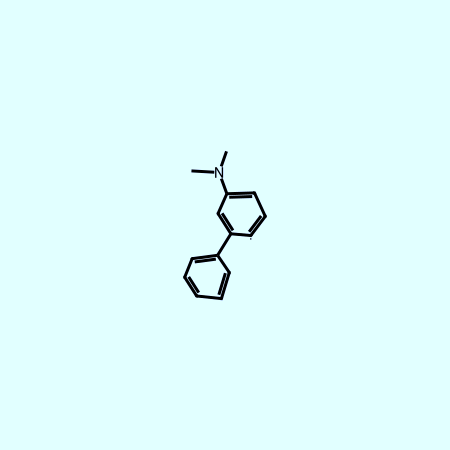 CN(C)c1cc[c]c(-c2ccccc2)c1